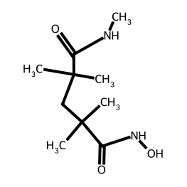 CNC(=O)C(C)(C)CC(C)(C)C(=O)NO